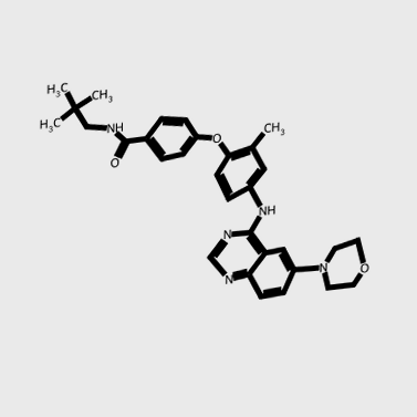 Cc1cc(Nc2ncnc3ccc(N4CCOCC4)cc23)ccc1Oc1ccc(C(=O)NCC(C)(C)C)cc1